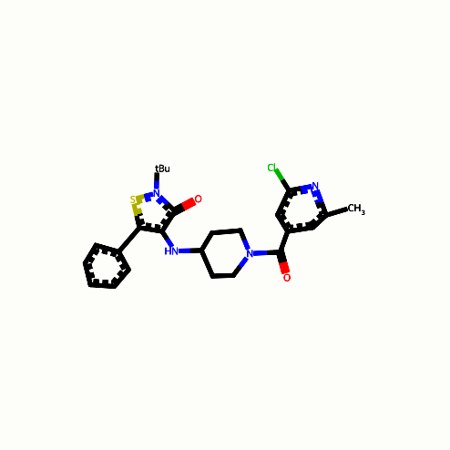 Cc1cc(C(=O)N2CCC(Nc3c(-c4ccccc4)sn(C(C)(C)C)c3=O)CC2)cc(Cl)n1